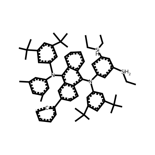 CC[SiH2]c1cc(N(c2cc(C(C)(C)C)cc(C(C)(C)C)c2)c2c3ccccc3c(N(c3cc(C)cc(C)c3)c3cc(C(C)(C)C)cc(C(C)(C)C)c3)c3cc(-c4ccccc4)ccc23)cc([SiH](CC)CC)c1